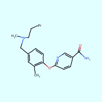 Cc1cc(CN(C)CCC(C)C)ccc1Oc1ccc(C(N)=O)cn1